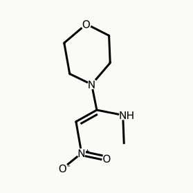 CN/C(=C\[N+](=O)[O-])N1CCOCC1